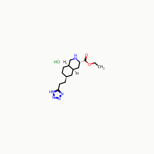 CCOC(=O)[C@@H]1C[C@H]2C[C@@H](CCc3nnn[nH]3)CC[C@H]2CN1.Cl